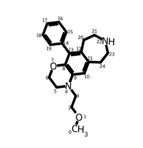 COCCN1CCOc2c1cc1c(c2-c2ccccc2)CCNCC1